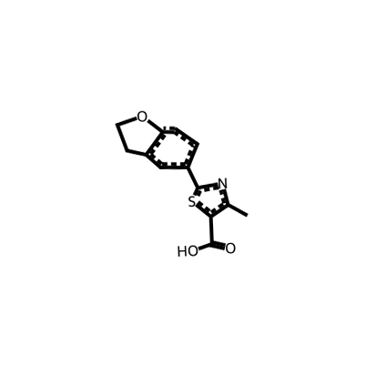 Cc1nc(-c2ccc3c(c2)CCO3)sc1C(=O)O